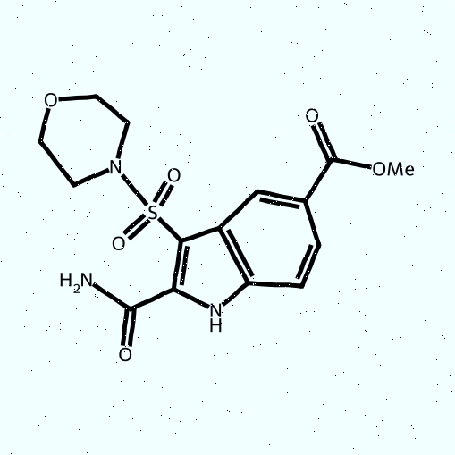 COC(=O)c1ccc2[nH]c(C(N)=O)c(S(=O)(=O)N3CCOCC3)c2c1